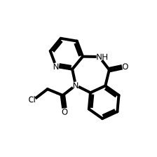 O=C1Nc2cccnc2N(C(=O)CCl)c2ccccc21